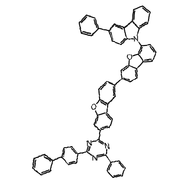 c1ccc(-c2ccc(-c3nc(-c4ccccc4)nc(-c4ccc5c(c4)oc4ccc(-c6ccc7c(c6)oc6c(-n8c9ccccc9c9cc(-c%10ccccc%10)ccc98)cccc67)cc45)n3)cc2)cc1